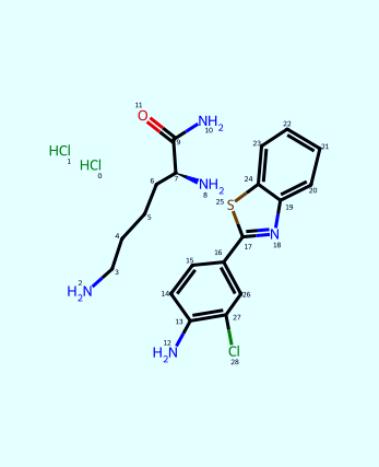 Cl.Cl.NCCCC[C@H](N)C(N)=O.Nc1ccc(-c2nc3ccccc3s2)cc1Cl